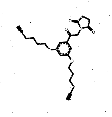 C#CCCCCOc1cc(OCCCCC#C)cc(C(=O)CN2C(=O)CCC2=O)c1